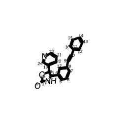 O=C1NC(c2cccc(C#Cc3ccccc3)c2)C(c2cccnc2)O1